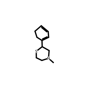 CN1CCSC(C2=CC=CCC2)C1